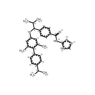 Cc1cc(OC(c2ccc(C(=O)Nc3nnc[nH]3)cc2)C(C)C)cc(C)c1-c1ccc(C(C)C)cc1